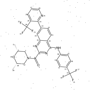 C[C@@H]1CN(C(=O)c2nc(Nc3ccc(C(F)(F)F)cc3)c3ccc(-c4ncccc4C(F)(F)F)cc3n2)C[C@H](C)O1